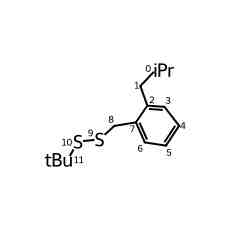 CC(C)Cc1ccccc1CSSC(C)(C)C